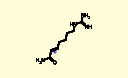 N=C(N)NCCCC/C=C/C(N)=O